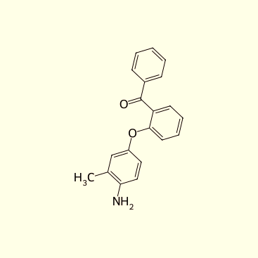 Cc1cc(Oc2ccccc2C(=O)c2ccccc2)ccc1N